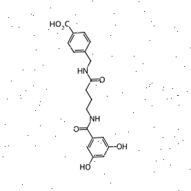 O=C(CCCNC(=O)c1cc(O)cc(O)c1)NCc1ccc(C(=O)O)cc1